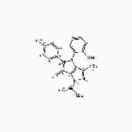 COc1ccccc1C1c2c(C(C)(C)C)nn(C(=O)C(C)(C)C)c2C(=O)N1c1ccc(Br)cc1